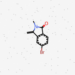 C=C1c2cc(Br)ccc2C(=O)N1C